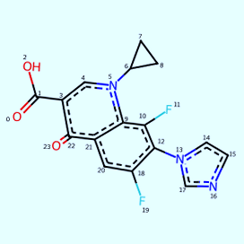 O=C(O)c1cn(C2CC2)c2c(F)c(-n3ccnc3)c(F)cc2c1=O